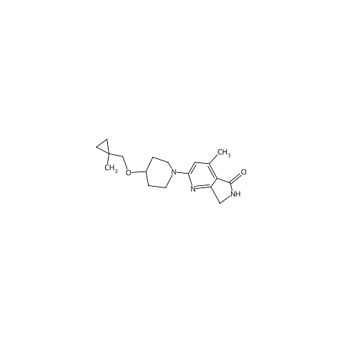 Cc1cc(N2CCC(OCC3(C)CC3)CC2)nc2c1C(=O)NC2